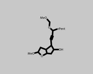 CCCCCC(C#CC1C(O)CC2OC(OC)CC21)OCOC